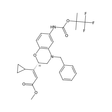 COC(=O)C=C(C1CC1)[C@H]1CN(Cc2ccccc2)c2cc(NC(=O)OC(C)(C)C(F)(F)F)ccc2O1